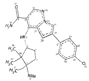 CNC1(C)CC[C@@H](Nc2c(C(N)=O)cnn3cc(-c4ccc(Cl)cc4)cc23)C1(C)C